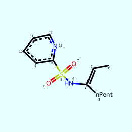 CC=C(CCCCC)NS(=O)(=O)c1ccccn1